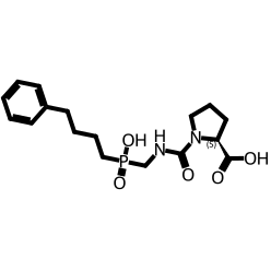 O=C(O)[C@@H]1CCCN1C(=O)NCP(=O)(O)CCCCc1ccccc1